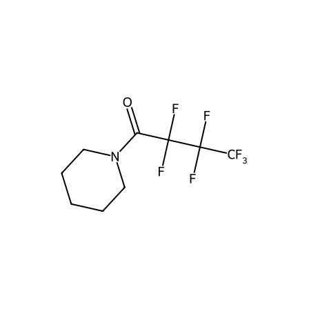 O=C(N1CCCCC1)C(F)(F)C(F)(F)C(F)(F)F